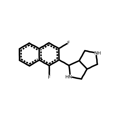 Fc1cc2ccccc2c(F)c1C1NCC2CNCC21